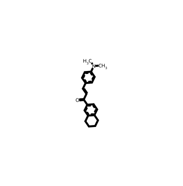 CN(C)c1ccc(C=CC(=O)c2ccc3c(c2)CCCC3)cc1